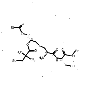 CCC(=O)OC[C@H](CSC[C@H](N)C(=O)N[C@@H](CO)C(=O)NC(C)C)OC(=O)C(C)(C)CC(C)(C)C